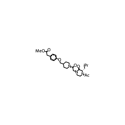 COC(=O)Cc1ccc(OCC2CCN(C(=O)CN3CCN(C(C)=O)[C@@H](CC(C)C)C3=O)CC2)cc1